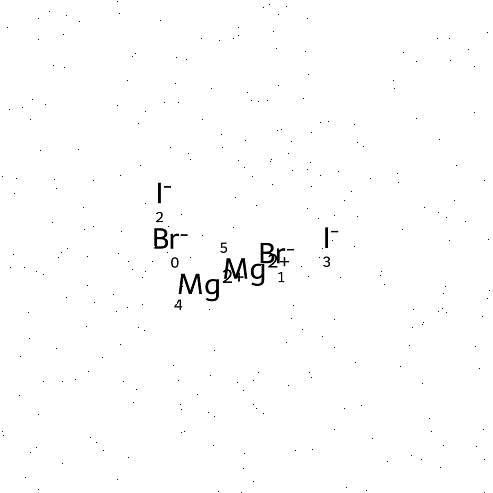 [Br-].[Br-].[I-].[I-].[Mg+2].[Mg+2]